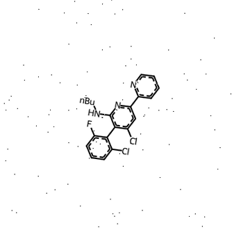 CCCCNc1nc(-c2ccccn2)cc(Cl)c1-c1c(F)cccc1Cl